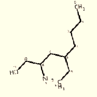 CCCCC(CC)CC(N)CO